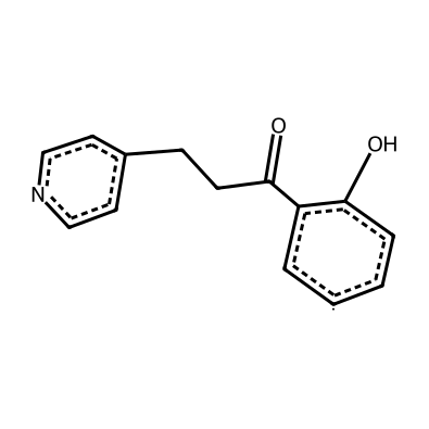 O=C(CCc1ccncc1)c1c[c]ccc1O